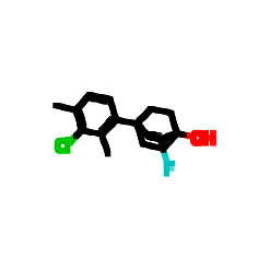 Cc1ccc(C23C=C(F)C(O)(CC2)CC3)c(C)c1Cl